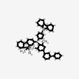 Cc1cc(-c2cccc(-c3ccccc3)c2)cc(C)c1N(c1ccc(-n2c3ccccc3c3ccccc32)cc1)c1ccc2c(c1)C(C)(C)c1ccccc1-2